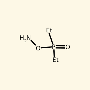 CCP(=O)(CC)ON